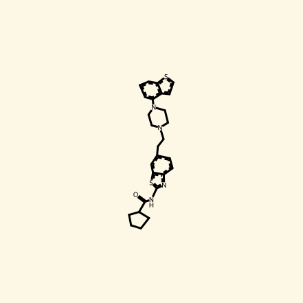 O=C(Nc1nc2ccc(CCN3CCN(c4cccc5sccc45)CC3)cc2s1)C1CCCC1